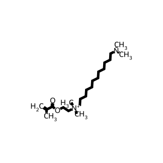 C=C(C)C(=O)OCC[N+](C)(C)CCCCCCCCCCCCN(C)C